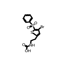 O=C(O)NCCc1cc(Br)c(S(=O)(=O)c2ccccc2)s1